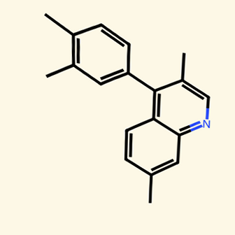 Cc1ccc2c(-c3ccc(C)c(C)c3)c(C)cnc2c1